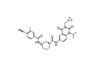 Cc1cc(C(=O)N[C@@H]2CCCN(C(=O)Nc3ccc4c(c3)c(=O)n(CC3CC3)c(=O)n4C(C)C)C2)ccc1C#N